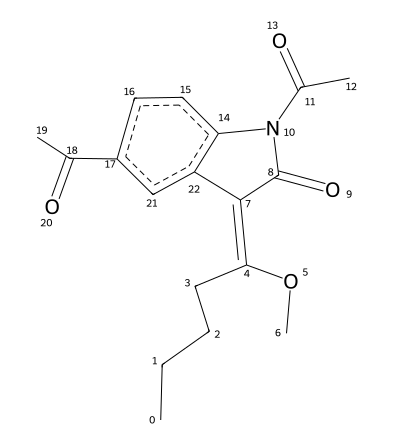 CCCC/C(OC)=C1/C(=O)N(C(C)=O)c2ccc(C(C)=O)cc21